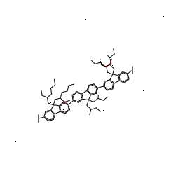 CCCCC(CC)CC1(CC(CC)CCCC)c2cc(I)ccc2-c2ccc(-c3ccc4c(c3)C(CC(C)CC)(CC(C)CC)c3cc(-c5ccc6c(c5)C(CC(CC)CCCC)(CC(CC)CCCC)c5cc(I)ccc5-6)ccc3-4)cc21